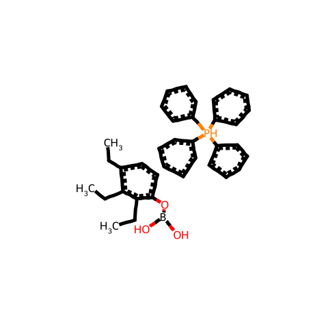 CCc1ccc(OB(O)O)c(CC)c1CC.c1ccc([PH](c2ccccc2)(c2ccccc2)c2ccccc2)cc1